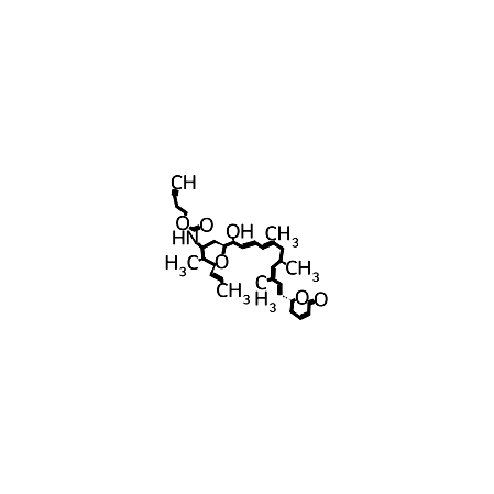 C#CCCOC(=O)NC1C[C@@H]([C@H](O)/C=C/C=C(\C)C[C@@H](C)/C=C(C)\C=C\[C@H]2CC=CC(=O)O2)O[C@@H](/C=C/C)[C@H]1C